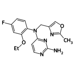 CCOc1cc(F)ccc1N(Cc1coc(C)n1)c1ccnc(N)n1